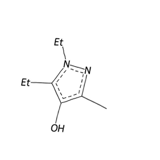 CCc1c(O)c(C)nn1CC